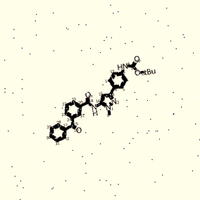 Cn1nc(-c2ccc(NC(=O)OC(C)(C)C)cc2)cc1NC(=O)c1cccc(C(=O)c2ccccc2)c1